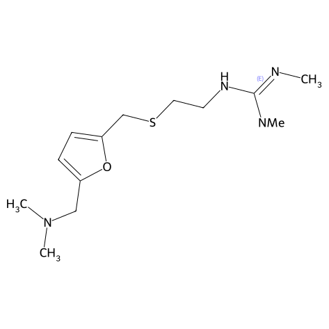 C/N=C(\NC)NCCSCc1ccc(CN(C)C)o1